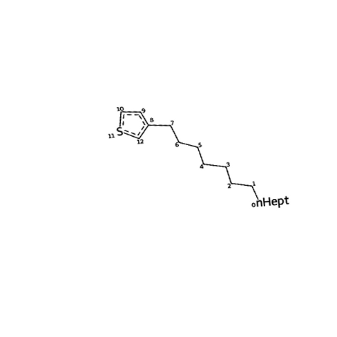 CCCCCCCCCCCCCCc1ccsc1